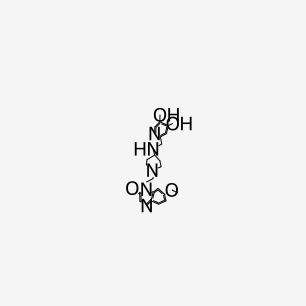 COc1ccc2ncc(=O)n(CCN3CCC(NCc4cc(O)c(O)cn4)CC3)c2c1